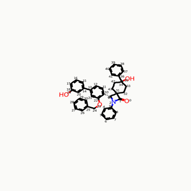 O=C1N(c2ccccc2)[C@H](c2ccc(-c3cccc(O)c3)cc2OCc2ccccc2)C12CCC(O)(c1ccccc1)CC2